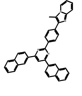 Cc1c(-c2ccc(-c3nc(-c4ccc5ccccc5c4)cc(-c4ccc5ccccc5c4)n3)cc2)nc2ccccn12